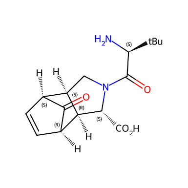 CC(C)(C)[C@H](N)C(=O)N1C[C@H]2[C@@H]([C@H]1C(=O)O)[C@H]1C=C[C@@H]2C1=O